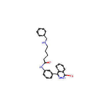 O=C(CCCCNCc1ccccc1)Nc1cccc(-c2n[nH]c(=O)c3ccccc23)c1